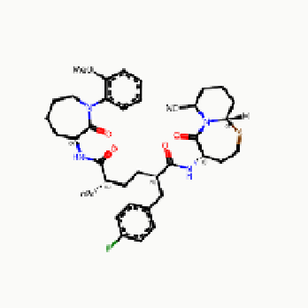 CCC[C@@H](CC[C@H](Cc1ccc(F)cc1)C(=O)N[C@H]1CCS[C@H]2CCCC(C#N)N2C1=O)C(=O)N[C@H]1CCCCN(c2ccccc2OC)C1=O